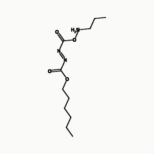 CCCCCCOC(=O)N=NC(=O)O[SiH2]CCC